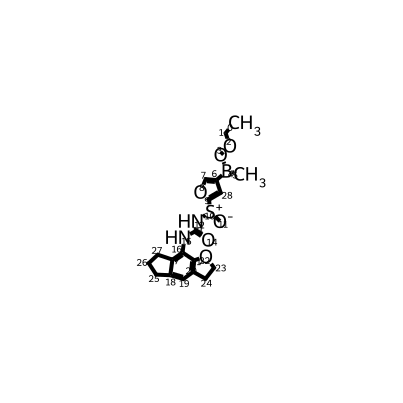 CCOOB(C)c1coc([S+]([O-])NC(=O)Nc2c3c(cc4c2OCC4)CCC3)c1